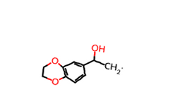 [CH2]C(O)c1ccc2c(c1)OCCO2